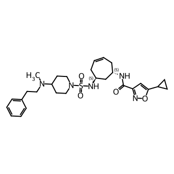 CN(CCc1ccccc1)C1CCN(S(=O)(=O)N[C@H]2CC=CC[C@H](NC(=O)c3cc(C4CC4)on3)C2)CC1